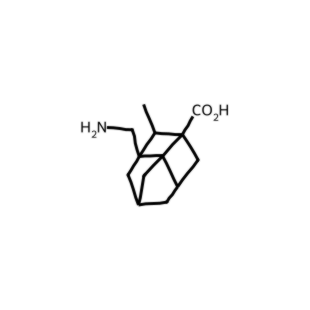 CC1C2(CN)CC3CC(C2)CC1(C(=O)O)C3